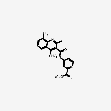 COC(=O)c1cc(NC(=O)c2c(C)nc3c(C(F)(F)F)cccc3c2C=O)ccn1